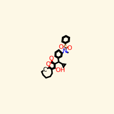 CN(c1cccc(C(c2c(O)c3c(oc2=O)CCCCCC3)C2CC2)c1)S(=O)(=O)c1ccccc1